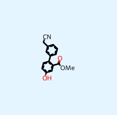 COC(=O)c1cc(O)ccc1-c1cccc(CC#N)c1